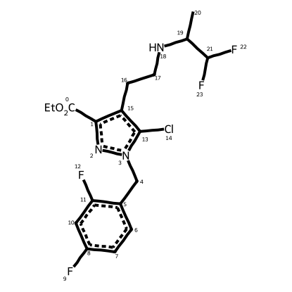 CCOC(=O)c1nn(Cc2ccc(F)cc2F)c(Cl)c1CCNC(C)C(F)F